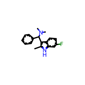 Cc1[nH]c2cc(F)ccc2c1C(c1ccccc1)N(C)C